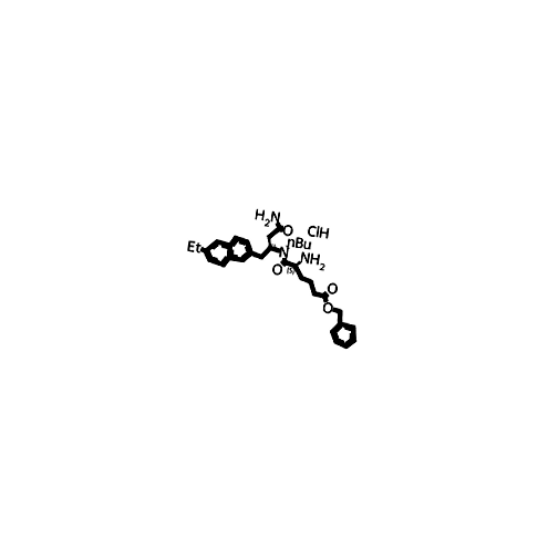 CCCCN(C(=O)[C@@H](N)CCCC(=O)OCc1ccccc1)[C@H](CC(N)=O)Cc1ccc2cc(CC)ccc2c1.Cl